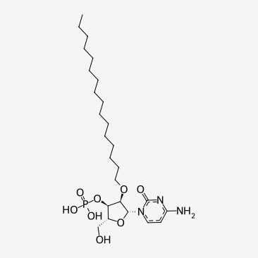 CCCCCCCCCCCCCCCCO[C@@H]1[C@H](OP(=O)(O)O)[C@@H](CO)O[C@H]1n1ccc(N)nc1=O